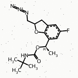 C[C@@H](OC(=O)NC(C)(C)C)c1cc(F)cc2c1OC(CN=[N+]=[N-])C2